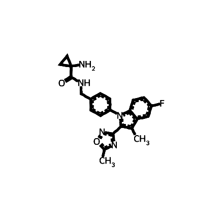 Cc1nc(-c2c(C)c3cc(F)ccc3n2-c2ccc(CNC(=O)C3(N)CC3)cc2)no1